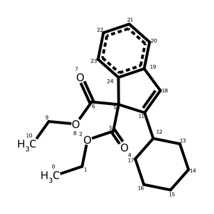 CCOC(=O)C1(C(=O)OCC)C(C2CCCCC2)=Cc2ccccc21